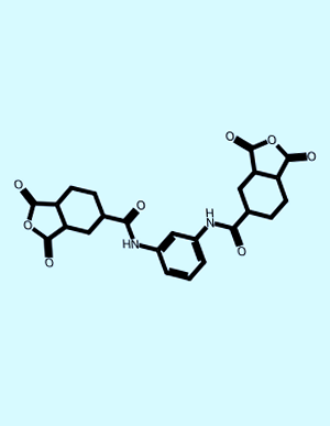 O=C(Nc1cccc(NC(=O)C2CCC3C(=O)OC(=O)C3C2)c1)C1CCC2C(=O)OC(=O)C2C1